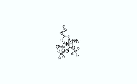 CSSC(CN=[N+]=[N-])CC(NC(=O)OC(C)(C)C)C(=O)OC(C)(C)C